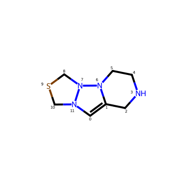 C1=C2CNCCN2N2CSCN12